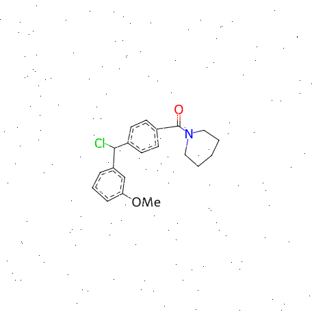 COc1cccc(C(Cl)c2ccc(C(=O)N3CCCCC3)cc2)c1